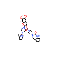 Cc1cc(CC(OC(=O)N2CCC(N3CCc4ccccc4NC3=O)CC2)C(=O)N2CCN(C3CC4CC[C@H](C3)N4C)CC2)cc2c1OCCO2